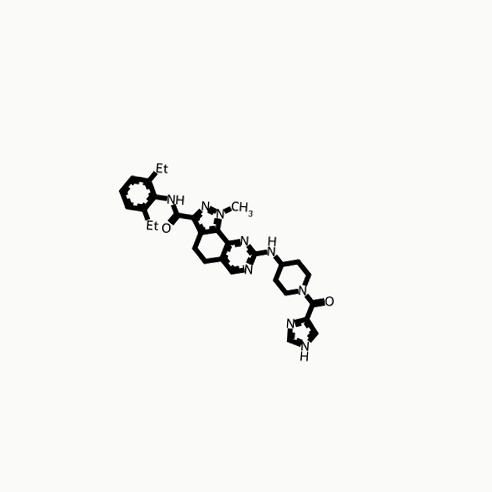 CCc1cccc(CC)c1NC(=O)c1nn(C)c2c1CCc1cnc(NC3CCN(C(=O)c4c[nH]cn4)CC3)nc1-2